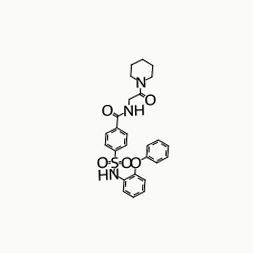 O=C(NCC(=O)N1CCCCC1)c1ccc(S(=O)(=O)Nc2ccccc2Oc2ccccc2)cc1